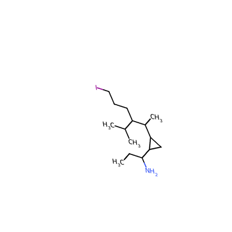 CCC(N)C1CC1C(C)C(CCCI)C(C)C